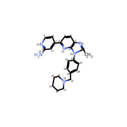 Cc1nc2ccc(-c3ccnc(N)c3)nc2n1-c1ccc(CN2CCCCC2)cc1